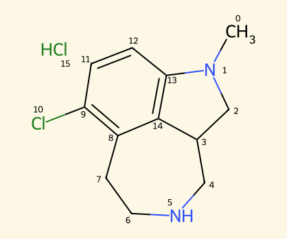 CN1CC2CNCCc3c(Cl)ccc1c32.Cl